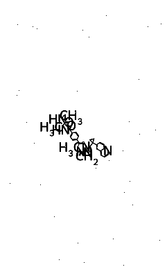 C=Nc1ncc(C2(c3ccc4ncccc4c3)CC2)n1/C=C(\C)c1ccc(C(=O)N[C@H](C)C(=O)NC)cc1